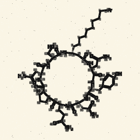 CC(C)CCCCCCCCC[C@@H]1CC(=O)N[C@@H](CC(N)=O)C(=O)N[C@H](Cc2ccc(O)cc2)C(=O)N[C@H](CC(N)=O)C(=O)N[C@@H](CCC(N)=O)C(=O)N2CCC[C@H]2C(=O)N[C@H](CC(N)=O)C(=O)N[C@@H](CO)C(=O)N1